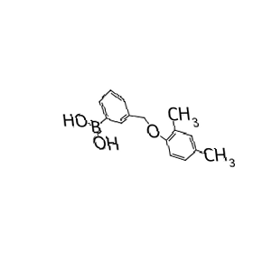 Cc1ccc(OCc2cccc(B(O)O)c2)c(C)c1